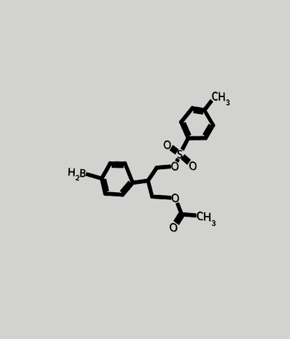 Bc1ccc(C(COC(C)=O)COS(=O)(=O)c2ccc(C)cc2)cc1